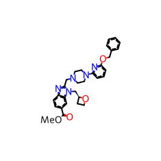 COC(=O)c1ccc2nc(CN3CCN(c4cccc(OCc5ccccc5)n4)CC3)n(C[C@@H]3CCO3)c2c1